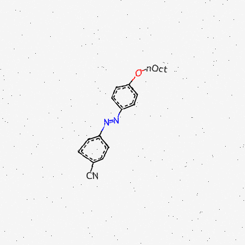 [CH2]CCCCCCCOc1ccc(/N=N/c2ccc(C#N)cc2)cc1